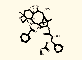 CO[C@@H]1C2=C(C)[C@@H](OC(=O)[C@H](O)[C@@H](NC(=O)OC(C)(C)C)c3ccccc3)C[C@@](O)([C@@H](OC(=O)c3ccccc3)[C@H]3[C@](C)(C1O)[C@@H](OC)C[C@@]1(C)OC[C@@]31OC(C)=O)C2(C)C